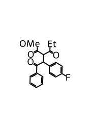 CCC(=O)C(C(=O)OC)C(C(=O)c1ccccc1)c1ccc(F)cc1